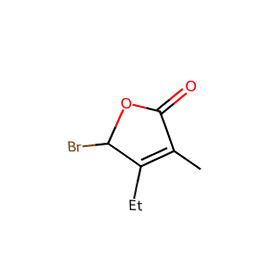 CCC1=C(C)C(=O)OC1Br